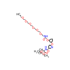 C#CCOCCOCCOCCOCCOCCOCCNC(=O)COc1cccc(Oc2ccc(C(=O)N[C@@H](COC(C)(C)C)C(=O)OC)cn2)c1